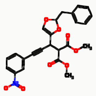 COC(=O)C(C(=O)OC)C(C#Cc1cccc([N+](=O)[O-])c1)C1=COC(Cc2ccccc2)O1